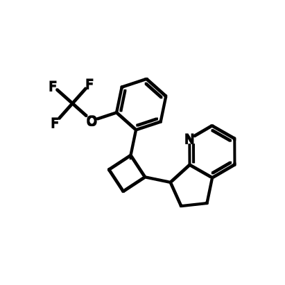 FC(F)(F)Oc1ccccc1[C]1CCC1C1CCc2cccnc21